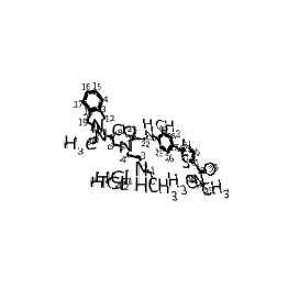 CCNCCN(CC(=O)N(C)N1Cc2ccccc2C1)C(=O)CNc1ccc(-c2ncc(C(=O)N(C)C)s2)cc1C.Cl.Cl